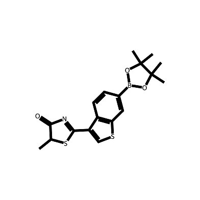 CC1SC(c2csc3cc(B4OC(C)(C)C(C)(C)O4)ccc23)=NC1=O